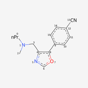 CCCN(C)Cc1ncoc1-c1ccc(C#N)cc1